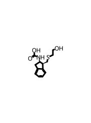 O=C(O)N[C@@H]1Cc2ccccc2[C@@H]1CSCCO